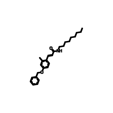 CCCCCCCCCNC(=O)C=Cc1ccc(OCc2ccccc2)cc1C